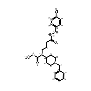 CC(C)(C)OC(=O)N(CCCC(=O)NNc1ccc(Cl)nn1)C1CCN(Cc2ccccc2)CC1